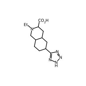 CCN1CC2CCC(c3nn[nH]n3)CC2CC1C(=O)O